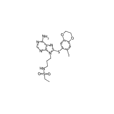 CCS(=O)(=O)NCCCn1c(Sc2cc3c(cc2I)OCCO3)nc2c(N)ncnc21